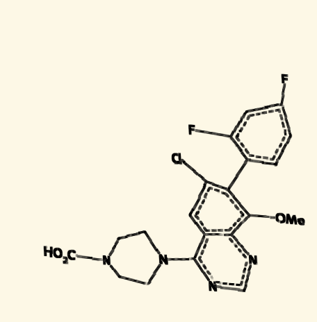 COc1c(-c2ccc(F)cc2F)c(Cl)cc2c(N3CCN(C(=O)O)CC3)ncnc12